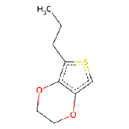 CCCc1scc2c1OCCO2